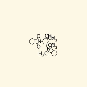 CC1C2CCCCC2C(=O)N1CC1(C)CC(N2C(=O)C3CCCCC3C2=O)CC(C)(C)C1